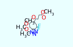 COC(=O)CCC(=O)C1C[C@H](OC)[C@@H](OC)c2c(nnn2C)C(F)(F)C1